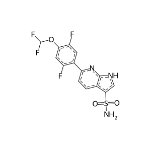 NS(=O)(=O)c1c[nH]c2nc(-c3cc(F)c(OC(F)F)cc3F)ccc12